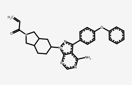 C=CC(=O)N1CC2CCC(n3nc(-c4ccc(Oc5ccccc5)cc4)c4c(N)ncnc43)CC2C1